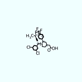 C=C(C)C#C[C@@H](c1cc(Cl)cc(Cl)c1)N1CC[C@H](CC(=O)O)C[C@@H]1c1ccc(C(F)(F)F)cc1